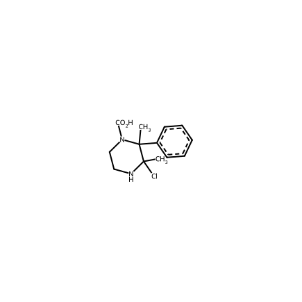 CC1(Cl)NCCN(C(=O)O)C1(C)c1ccccc1